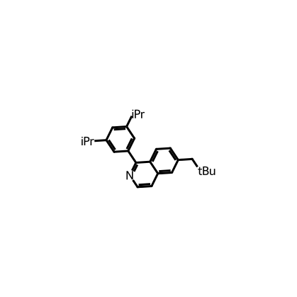 CC(C)c1cc(-c2nccc3cc(CC(C)(C)C)ccc23)cc(C(C)C)c1